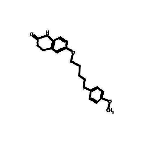 COc1ccc(SCCCCOc2ccc3c(c2)CCC(=O)N3)cc1